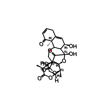 C[C@@H]1C(=O)O[C@@H]2C[C@@]1(C)C1C(=O)[C@@]3(O)O[C@@]14[C@@](O)(CCC1C3[C@H](O)C=C3CC=CC(=O)[C@@]31C)C(=O)O[C@@]24C